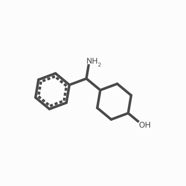 NC(c1ccccc1)C1CCC(O)CC1